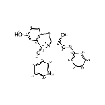 NC(Cc1ccc(O)cc1C=O)C(=O)OCc1ccccc1.c1ccncc1